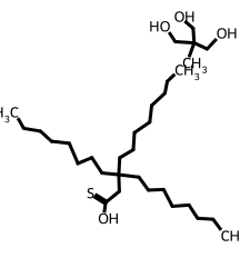 CC(CO)(CO)CO.CCCCCCCCC(CCCCCCCC)(CCCCCCCC)CC(O)=S